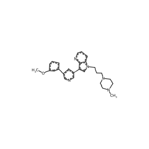 COc1cccc(-c2cncc(-c3cn(CCCN4CCN(C)CC4)c4cccnc34)c2)c1